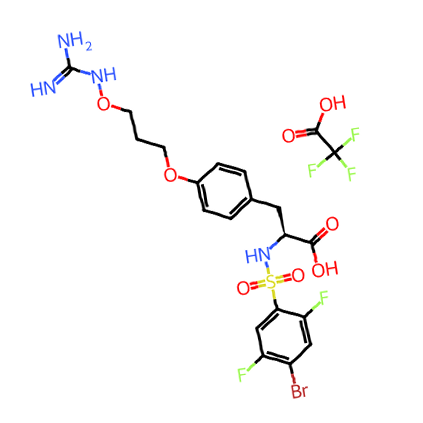 N=C(N)NOCCCOc1ccc(C[C@H](NS(=O)(=O)c2cc(F)c(Br)cc2F)C(=O)O)cc1.O=C(O)C(F)(F)F